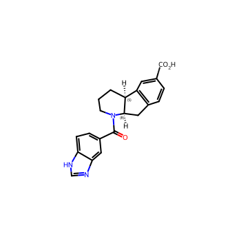 O=C(O)c1ccc2c(c1)[C@@H]1CCCN(C(=O)c3ccc4[nH]cnc4c3)[C@@H]1C2